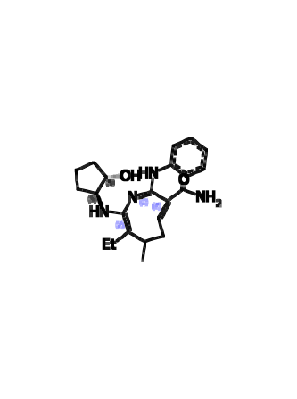 CC/C1=C(N[C@H]2CCC[C@@H]2O)/N=C(Nc2ccccc2)\C(C(N)=O)=C\CC1C